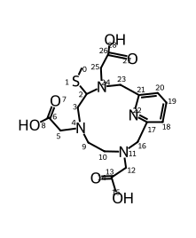 CSC1CN(CC(=O)O)CCN(CC(=O)O)Cc2cccc(n2)CN1CC(=O)O